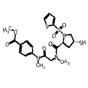 COC(=O)c1ccc(N(C)C(=O)CN(C)C(=O)[C@@H]2C[C@@H](S)CN2S(=O)(=O)c2cccs2)cc1